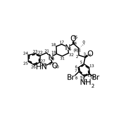 C[C@H](CC(=O)c1cc(Br)c(N)c(Br)c1)C(=O)N1CCC(N2Cc3ccccc3NC2=O)CC1